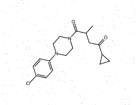 CC(CC(=O)C1CC1)C(=O)N1CCN(c2ccc(Cl)cc2)CC1